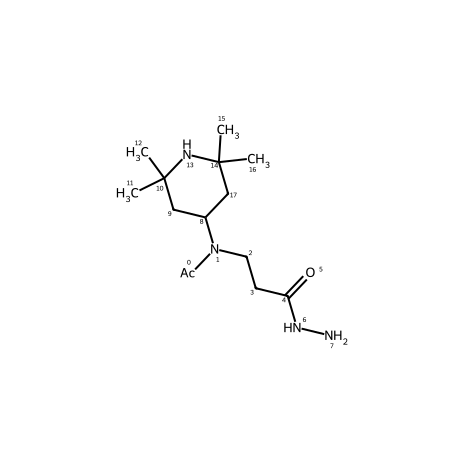 CC(=O)N(CCC(=O)NN)C1CC(C)(C)NC(C)(C)C1